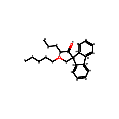 CCCCCOCC1(C(=O)CCCC)c2ccccc2-c2ccccc21